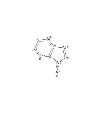 [S-][NH+]1C=Nc2ncccc21